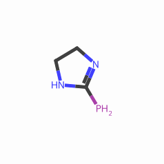 PC1=NCCN1